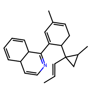 CC=CC1(C2CC=C(C)C=C2C2=NC=CC3C=CC=CC23)CC1C